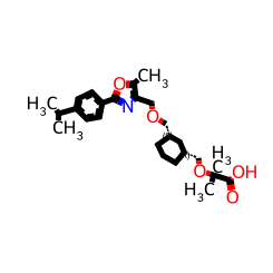 Cc1oc(-c2ccc(C(C)C)cc2)nc1COC[C@H]1CCC[C@@H](COC(C)(C)C(=O)O)C1